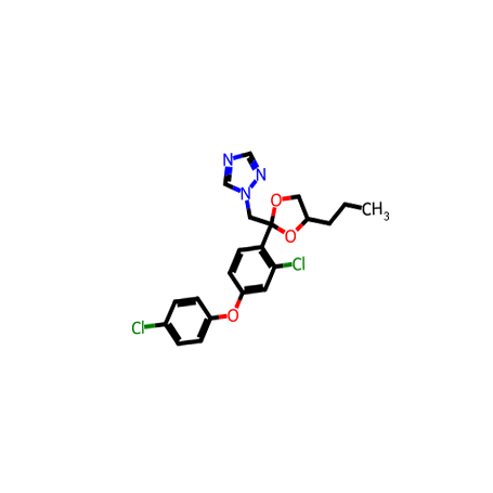 CCCC1COC(Cn2cncn2)(c2ccc(Oc3ccc(Cl)cc3)cc2Cl)O1